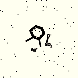 Cc1ccccc1C.O=[N+]([O-])[O-].[Ag+]